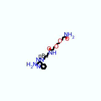 CCCCc1nc2c(N)nc3ccccc3c2n1CCCCNC(=O)CCOCCOCCC(N)=O